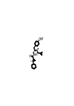 CN(CC1CC1)[C@H](CNC(=O)C1=C[C@@]1(C)c1ccccc1)Cc1ccc(O)cc1